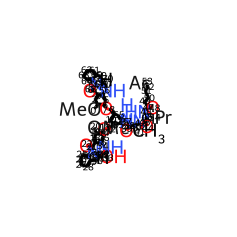 COc1cc2c(cc1OCc1cc(COc3cc4c(cc3OC)C(=O)N3c5ccccc5C[C@H]3C(O)N4)cc(NC(=O)[C@H](C)NC(=O)[C@@H](NC(=O)CCCCC(C)=O)C(C)C)c1)NC[C@@H]1Cc3ccccc3N1C2=O